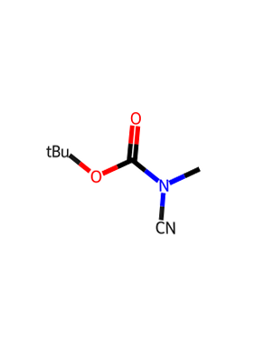 CN(C#N)C(=O)OC(C)(C)C